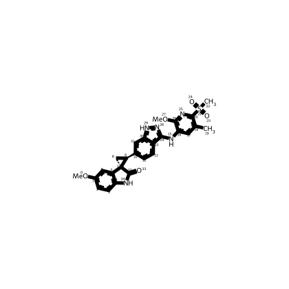 COc1ccc2c(c1)[C@]1(C[C@H]1c1ccc3c(Nc4cc(C)c(S(C)(=O)=O)nc4OC)n[nH]c3c1)C(=O)N2